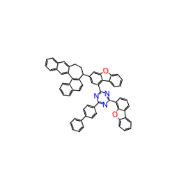 c1ccc(-c2ccc(-c3nc(-c4cccc5c4oc4ccccc45)nc(-c4cc(C5CCc6cc7ccccc7cc6-c6c5ccc5ccccc65)cc5oc6ccccc6c45)n3)cc2)cc1